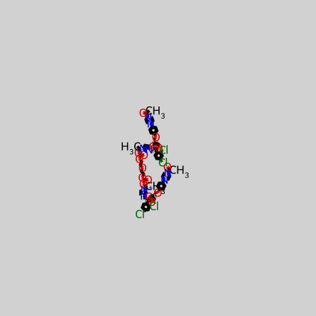 CC(=O)N1CCN(c2ccc(OC[C@@H]3CO[C@@](Cn4cc[n+](C(C)OC(=O)OCCOCCOC(=O)OC(C)[n+]5ccn(C[C@@]6(c7ccc(Cl)cc7Cl)OC[C@@H](COc7ccc(N8CCN(C(C)=O)CC8)cc7)O6)c5)c4)(c4ccc(Cl)cc4Cl)O3)cc2)CC1